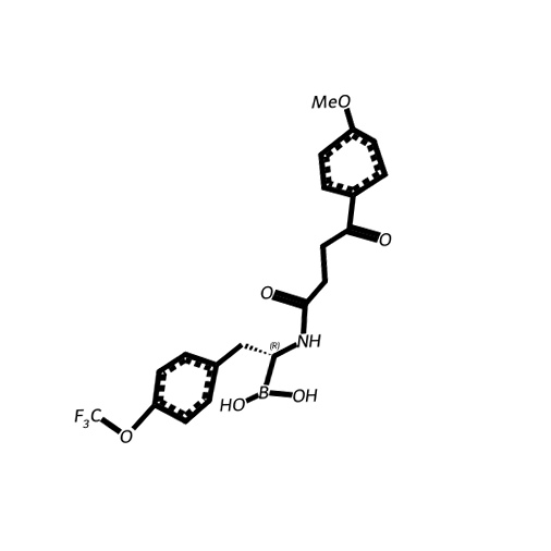 COc1ccc(C(=O)CCC(=O)N[C@@H](Cc2ccc(OC(F)(F)F)cc2)B(O)O)cc1